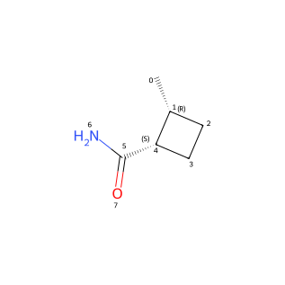 C[C@@H]1CC[C@@H]1C(N)=O